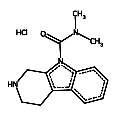 CN(C)C(=O)n1c2c(c3ccccc31)CCNC2.Cl